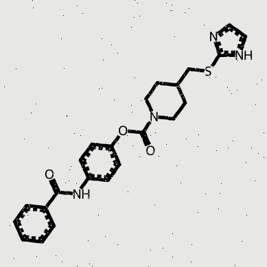 O=C(Nc1ccc(OC(=O)N2CCC(CSc3ncc[nH]3)CC2)cc1)c1ccccc1